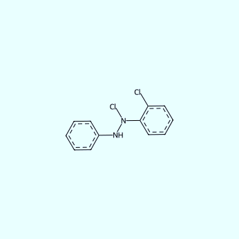 Clc1ccccc1N(Cl)Nc1ccccc1